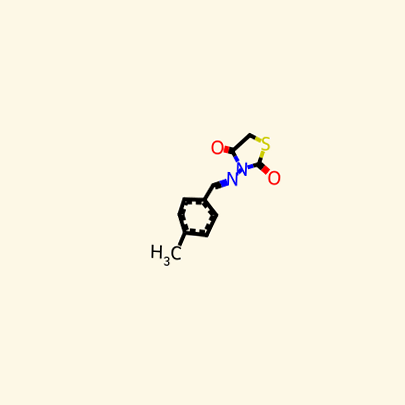 Cc1ccc(C=NN2C(=O)CSC2=O)cc1